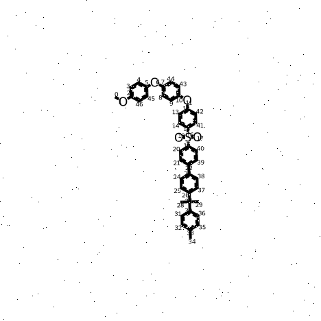 COc1ccc(Oc2ccc(Oc3ccc(S(=O)(=O)c4ccc(-c5ccc(C(C)(C)c6ccc(C)cc6)cc5)cc4)cc3)cc2)cc1